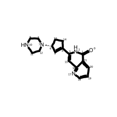 O=c1[nH]c(C2=C[C@H](N3CCNCC3)CC2)cc2ncccc12